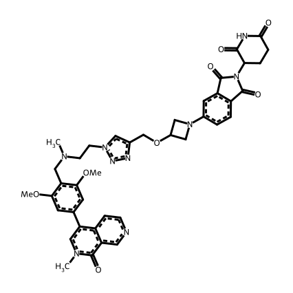 COc1cc(-c2cn(C)c(=O)c3cnccc23)cc(OC)c1CN(C)CCn1cc(COC2CN(c3ccc4c(c3)C(=O)N(C3CCC(=O)NC3=O)C4=O)C2)nn1